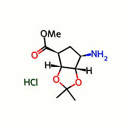 COC(=O)[C@H]1C[C@@H](N)[C@@H]2OC(C)(C)O[C@@H]21.Cl